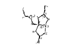 C=C1CN2C[C@H](F)C[C@@]2(COCC)C1